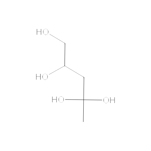 CC(O)(O)CC(O)CO